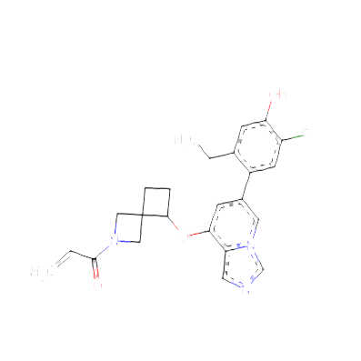 C=CC(=O)N1CC2(CCC2Oc2cc(-c3cc(F)c(O)cc3CC)cn3cncc23)C1